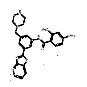 COc1ccc(C(=O)Nc2cc(CN3CCNCC3)cc(-c3nc4ncccc4o3)c2)c(OC)c1